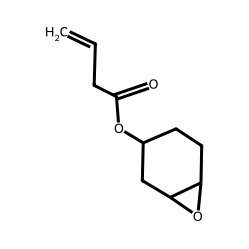 C=CCC(=O)OC1CCC2OC2C1